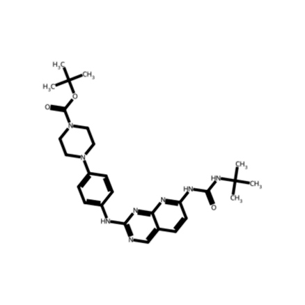 CC(C)(C)NC(=O)Nc1ccc2cnc(Nc3ccc(N4CCN(C(=O)OC(C)(C)C)CC4)cc3)nc2n1